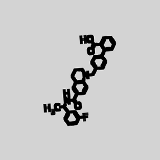 CC(NC(=O)c1ccc2c(c1)CCCN2Cc1ccc(-c2ccccc2C(=O)O)cc1)c1cccc(F)c1